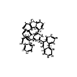 Clc1ccc2ccc3oc4cccc(-c5nc(-c6cccc7ccccc67)nc(-c6cc7ccccc7c7ccccc67)n5)c4c3c2c1